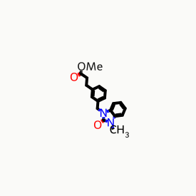 COC(=O)CCc1cccc(Cn2c(=O)n(C)c3ccccc32)c1